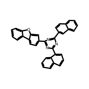 c1ccc2cc(-c3nc(-c4ccc5c(c4)oc4ccccc45)nc(-c4cccc5ccccc45)n3)ccc2c1